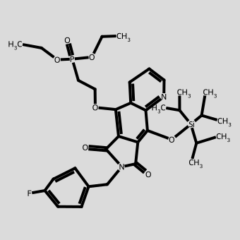 CCOP(=O)(CCOc1c2c(c(O[Si](C(C)C)(C(C)C)C(C)C)c3ncccc13)C(=O)N(Cc1ccc(F)cc1)C2=O)OCC